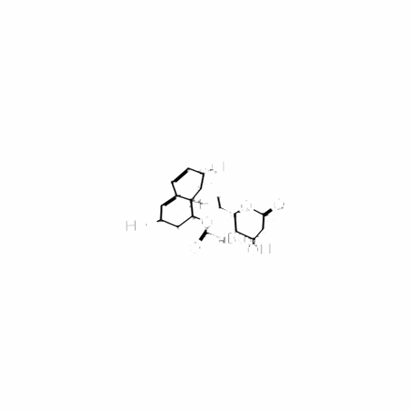 CC[C@H](C)C(=O)OC1CC(C)C=C2C=C[C@H](C)[C@H](CC[C@@H]3C[C@@H](O)CC(=O)O3)[C@H]21